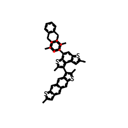 Cc1cc2cc3cc4sc(C)c(-c5c(C)sc6c(-c7cc(C)c8c(c7C)C7c9ccccc9C8c8ccccc87)cc7sc(C)cc7c56)c4cc3cc2s1